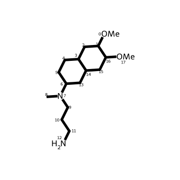 COC1CC2CCC(N(C)CCCN)CC2CC1OC